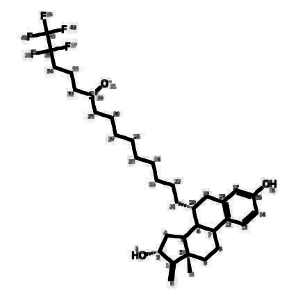 C=C1[C@H](O)CC2C3C(CC[C@]12C)c1ccc(O)cc1C[C@H]3CCCCCCCCC[S+]([O-])CCCC(F)(F)C(F)(F)F